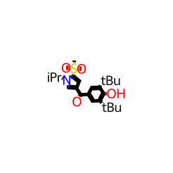 CC(C)n1cc(C(=O)c2cc(C(C)(C)C)c(O)c(C(C)(C)C)c2)cc1S(C)(=O)=O